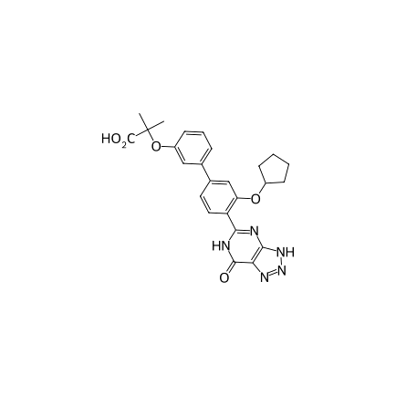 CC(C)(Oc1cccc(-c2ccc(-c3nc4[nH]nnc4c(=O)[nH]3)c(OC3CCCC3)c2)c1)C(=O)O